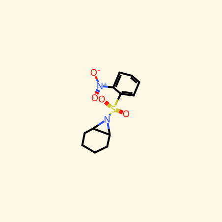 O=[N+]([O-])c1ccccc1S(=O)(=O)N1C2CCCCC21